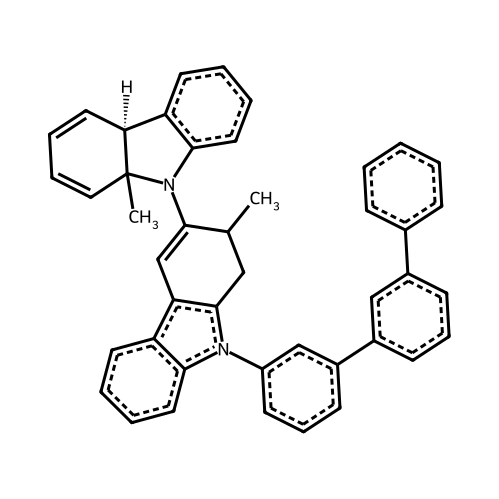 CC1Cc2c(c3ccccc3n2-c2cccc(-c3cccc(-c4ccccc4)c3)c2)C=C1N1c2ccccc2[C@@H]2C=CC=CC21C